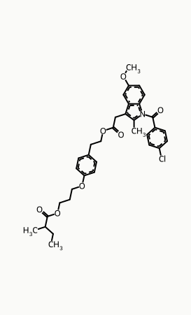 CCC(C)C(=O)OCCCOc1ccc(CCOC(=O)Cc2c(C)n(C(=O)c3ccc(Cl)cc3)c3ccc(OC)cc23)cc1